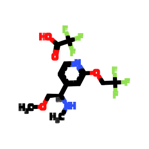 CN[C@@H](COC)c1ccnc(OCC(F)(F)F)c1.O=C(O)C(F)(F)F